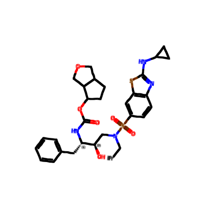 CC(C)CN(C[C@@H](O)[C@H](Cc1ccccc1)NC(=O)OC1CCC2COCC21)S(=O)(=O)c1ccc2nc(NC3CC3)sc2c1